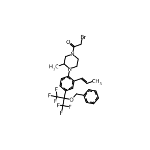 CC=Cc1cc(C(OCc2ccccc2)(C(F)(F)F)C(F)(F)F)ccc1N1CCN(C(=O)CBr)CC1C